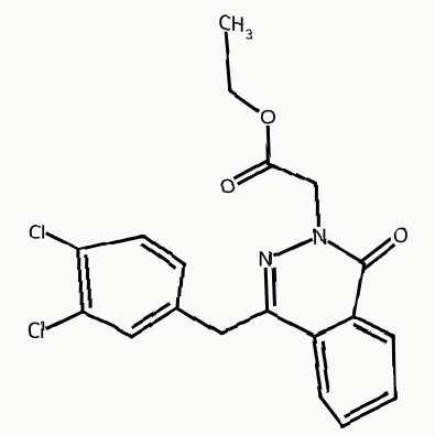 CCOC(=O)Cn1nc(Cc2ccc(Cl)c(Cl)c2)c2ccccc2c1=O